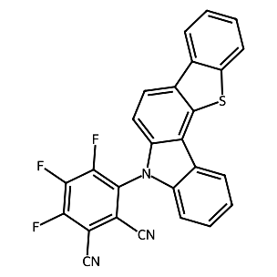 N#Cc1c(F)c(F)c(F)c(-n2c3ccccc3c3c4sc5ccccc5c4ccc32)c1C#N